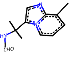 Cc1cccn2c(C(C)(C)NC=O)cnc12